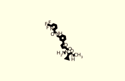 CNC(=O)[C@H](C1CC1)N(N)C(=O)c1ccc(-c2cccc(CNC(=O)c3cccc(C(F)(F)F)n3)c2)o1